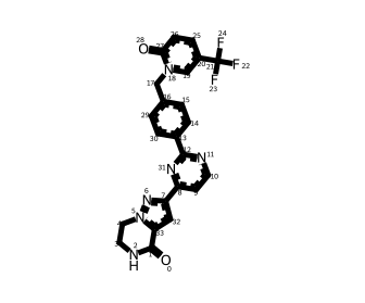 O=C1NCCn2nc(-c3ccnc(-c4ccc(Cn5cc(C(F)(F)F)ccc5=O)cc4)n3)cc21